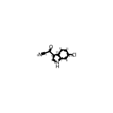 N#CC(=O)c1c[nH]c2cc(Cl)ccc12